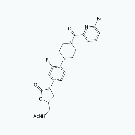 CC(=O)NCC1CN(c2ccc(N3CCN(C(=O)c4cccc(Br)n4)CC3)c(F)c2)C(=O)O1